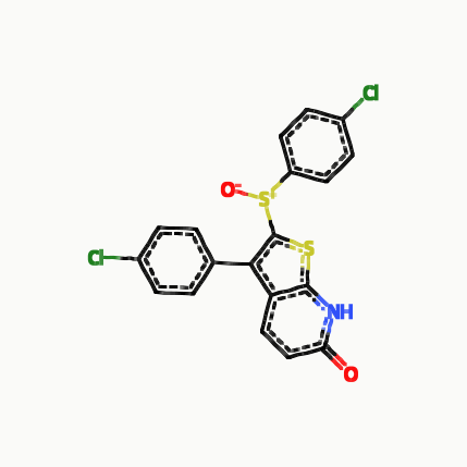 O=c1ccc2c(-c3ccc(Cl)cc3)c([S+]([O-])c3ccc(Cl)cc3)sc2[nH]1